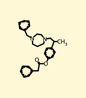 CC(CN1CCCN(Cc2ccccc2)CC1)c1ccc(OC(=O)Cc2ccccc2)cc1